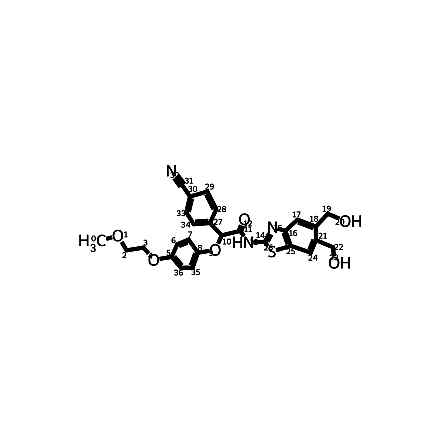 COCCOc1ccc(OC(C(=O)Nc2nc3cc(CO)c(CO)cc3s2)c2ccc(C#N)cc2)cc1